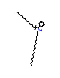 CCCCCCCCCCCCCCCCNC(c1ccccc1)C(C)(C)CCCCCCCCCCC